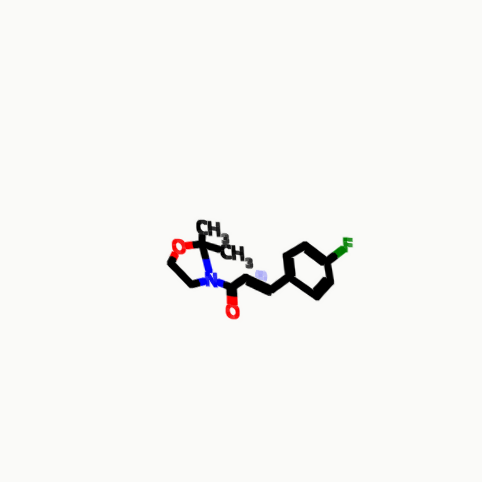 CC1(C)OCCN1C(=O)/C=C/c1ccc(F)cc1